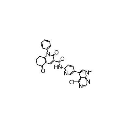 Cn1cc(-c2ccc(NC(=O)c3cc4c(n(-c5ccccc5)c3=O)CCCC4=O)nc2)c2c(Cl)ncnc21